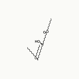 C=C(CCCCCCCCCN(CCO)CCCCCCCC(=O)OCCCCCCCCC)OC(CCCCCCCC)CCCCCCCC